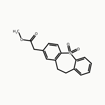 COC(=O)Cc1ccc2c(c1)CCc1ccccc1S2(=O)=O